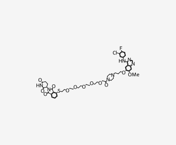 COc1cc2ncnc(Nc3ccc(F)c(Cl)c3)c2cc1OCCCN1CCN(C(=O)COCCOCCOCCOCCOCCSc2cccc3c2C(=O)N(C2CCC(=O)NC2=O)C3=O)CC1